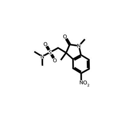 CN1C(=O)C(C)(CS(=O)(=O)N(C)C)c2cc([N+](=O)[O-])ccc21